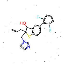 C=CCC1(Cn2ccnc2)Sc2ccc(-c3c(F)cccc3F)cc2C1O